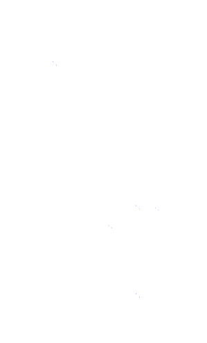 c1cc(-c2cnn3cc(-c4ccc(OCCC5CCCCN5)cc4)cnc23)ccn1